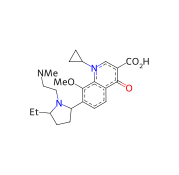 CCC1CCC(c2ccc3c(=O)c(C(=O)O)cn(C4CC4)c3c2OC)N1CCNC